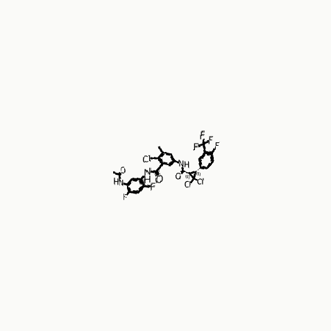 CC(=O)Nc1cc(NC(=O)c2cc(NC(=O)[C@H]3[C@H](c4ccc(F)c(C(F)(F)F)c4)C3(Cl)Cl)cc(C)c2Cl)c(F)cc1F